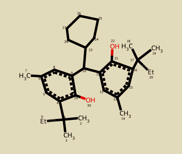 CCC(C)(C)c1cc(C)cc(C(c2cc(C)cc(C(C)(C)CC)c2O)C2CCCCC2)c1O